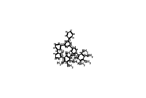 Bc1c(B)c(B)c(-c2ccc(-c3nc(-c4ccccc4)nc(-c4cccc5c4oc4c(-c6c(B)c(B)c(B)c(B)c6B)cccc45)n3)cc2)c(B)c1B